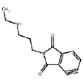 CCNCCCN1C(=O)c2c#cccc2C1=O